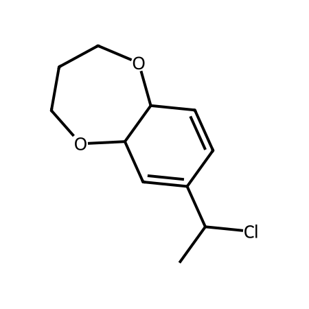 CC(Cl)C1=CC2OCCCOC2C=C1